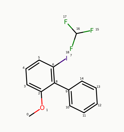 COc1cccc(I)c1-c1ccccc1.FC(F)F